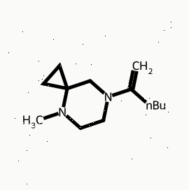 C=C(CCCC)N1CCN(C)C2(CC2)C1